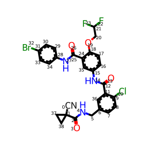 N#CC1(C(=O)NCc2ccc(Cl)c(C(=O)Nc3ccc(OCC(F)F)c(C(=O)Nc4ccc(Br)cc4)c3)c2)CC1